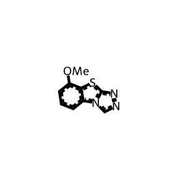 COc1cccc2c1sc1nncn12